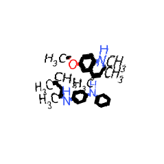 CC(C)CC(C)Nc1ccc(Nc2ccccc2)cc1.CCOc1ccc2c(c1)C(C)=CC(C)(C)N2